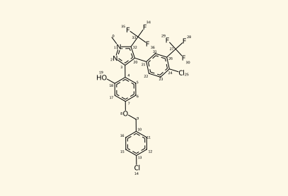 Cn1nc(-c2ccc(OCc3ccc(Cl)cc3)cc2O)c(-c2ccc(Cl)c(C(F)(F)F)c2)c1C(F)(F)F